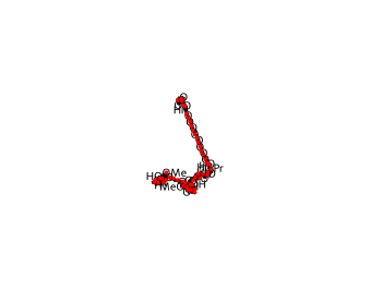 COc1cc2c(cc1OCCCCCOc1cc3c(cc1OC)C(=O)N1C=C(C)C[C@H]1[C@H](O)N3C(=O)OCc1ccc(NC(=O)[C@H](C)NC(=O)[C@@H](NC(=O)CCOCCOCCOCCOCCOCCOCCOCCOCCNC(=O)CCN3C(=O)C=CC3=O)C(C)C)cc1)N=C[C@@H]1CC(C)=CN1C2O